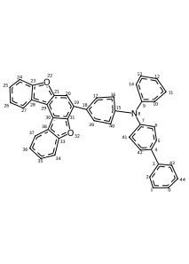 c1ccc(-c2ccc(N(c3ccccc3)c3ccc(-c4cc5oc6ccccc6c5c5c4oc4ccccc45)cc3)cc2)cc1